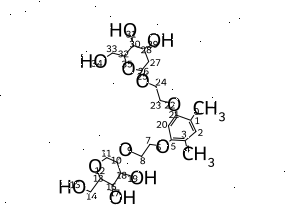 Cc1cc(C)c(OCCO[C@H]2COC(CO)[C@@H](O)C2O)cc1OCCO[C@H]1CC(O)[C@H](O)C(CO)O1